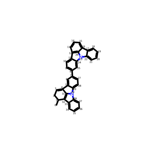 CC1CC=c2c3cc(-c4ccc5c6cccc7c8ccccc8n(c5c4)c76)ccc3n3c2c1c1ccccc13